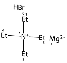 Br.CC[N+](CC)(CC)CC.[Mg+2]